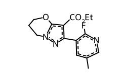 CCOC(=O)c1c(-c2cc(C)cnc2F)nn2c1OCCC2